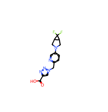 O=C(O)c1cn(Cc2ccc(N3CC4C(C3)C4(F)F)cn2)nn1